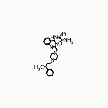 CC(CCN1CCN(Cc2nc(N[C@H](C(N)=O)C(C)C)c3ccccc3n2)CC1)c1ccccc1